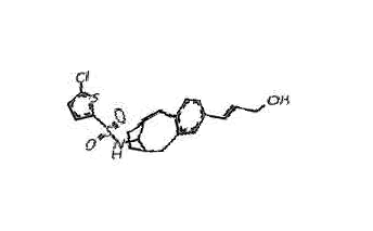 O=S(=O)(NC1C2CCC1Cc1cc(/C=C/CO)ccc1C2)c1ccc(Cl)s1